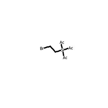 CC(=O)[Si](CCBr)(C(C)=O)C(C)=O